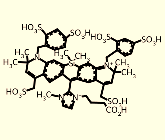 Cn1cc[n+](CCCC(=O)O)c1C1=c2cc3c(cc2[Si](C)(C)c2cc4c(cc21)C(CS(=O)(=O)O)=CC(C)(C)N4Cc1ccc(S(=O)(=O)O)cc1S(=O)(=O)O)=[N+](Cc1ccc(S(=O)(=O)O)cc1S(=O)(=O)O)C(C)(C)C=C3CS(=O)(=O)O